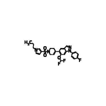 CCCn1ccc(S(=O)(=O)N2CC=C(c3cc4cnn(-c5ccc(F)cc5)c4cc3OC(F)F)CC2)c1